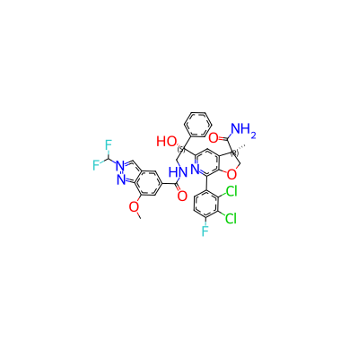 COc1cc(C(=O)NC[C@@](O)(c2ccccc2)c2cc3c(c(-c4ccc(F)c(Cl)c4Cl)n2)OC[C@]3(C)C(N)=O)cc2cn(C(F)F)nc12